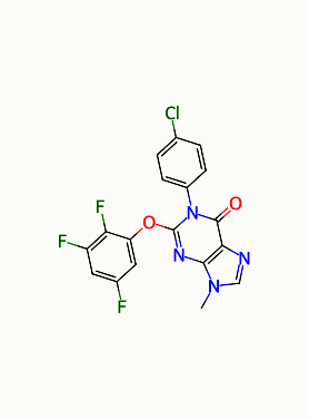 Cn1cnc2c(=O)n(-c3ccc(Cl)cc3)c(Oc3cc(F)cc(F)c3F)nc21